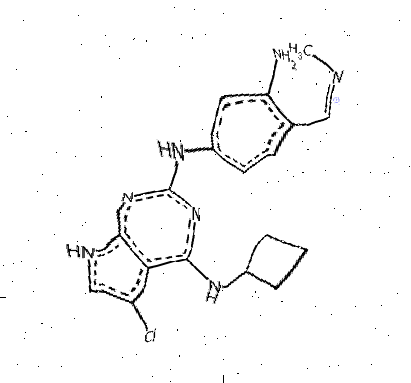 C/N=C\c1ccc(Nc2nc(NC3CCC3)c3c(Cl)c[nH]c3n2)cc1N